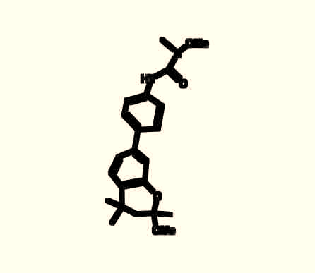 CON(C)C(=O)Nc1ccc(-c2ccc3c(c2)OC(C)(OC)CC3(C)C)cc1